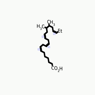 CC/C=C\CC(C)C(C)C/C=C\C/C=C\C/C=C\CCCCCC(=O)O